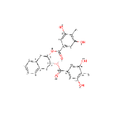 Cc1c(O)cc(C(=O)O[C@H]2Cc3ccccc3C[C@H]2OC(=O)c2cc(O)c(C)c(O)c2)cc1O